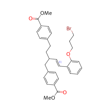 COC(=O)c1ccc(CCC(/C=C/c2ccccc2OCCCBr)Cc2ccc(C(=O)OC)cc2)cc1